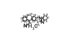 CCCc1nc2ccccc2n1Cc1ccc2c(c1)CCc1ccccc1C2=CC#N